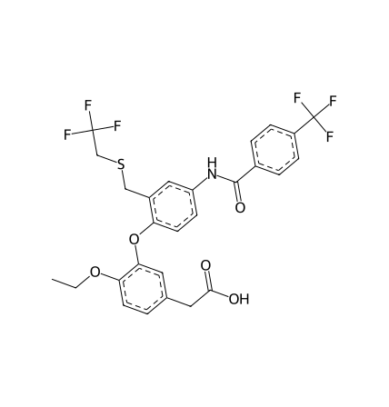 CCOc1ccc(CC(=O)O)cc1Oc1ccc(NC(=O)c2ccc(C(F)(F)F)cc2)cc1CSCC(F)(F)F